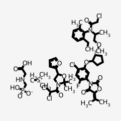 CC(C)=C1OC(=O)N(c2cc(OC3CCCC3)c(Cl)cc2F)C1=O.CC1(C)OC(c2ccco2)CN1C(=O)C(Cl)Cl.CCc1cccc(C)c1N(C(=O)CCl)C(C)COC.C[S+](C)C.O=C(O)CNCP(=O)([O-])O